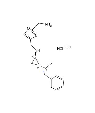 CC/C(=C\c1ccccc1)[C@@H]1C[C@H]1NCc1coc(CN)n1.Cl.Cl